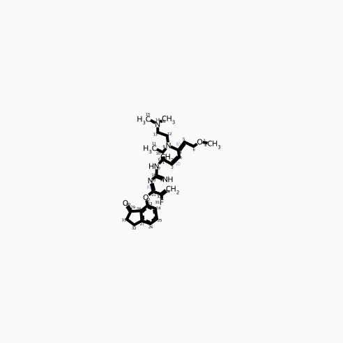 C=C(/C=C\C(=C/COC)N(CC)CCN(C)C)NC(=N)/N=C(/Oc1cccc2c1C(=O)CC2)C(=C)F